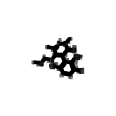 COCOc1c(C)nn(C)c(=O)c1-c1c(Cl)ccc(Cl)c1O